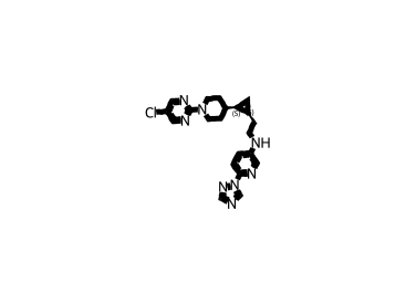 Clc1cnc(N2CCC([C@H]3C[C@H]3CCNc3ccc(-n4cncn4)nc3)CC2)nc1